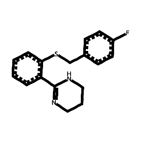 Fc1ccc(CSc2ccccc2C2=NCCCN2)cc1